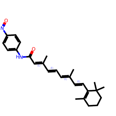 CC1=C(/C=C/C(C)=C/C=C/C(C)=C/C(=O)Nc2ccc(N=O)cc2)C(C)(C)CCC1